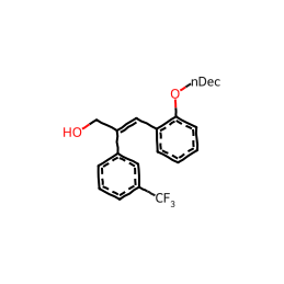 CCCCCCCCCCOc1ccccc1C=C(CO)c1cccc(C(F)(F)F)c1